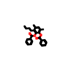 CCCCc1c(C)cc(C)c(OC(=O)c2ccccc2)c1OC(=O)c1ccccc1